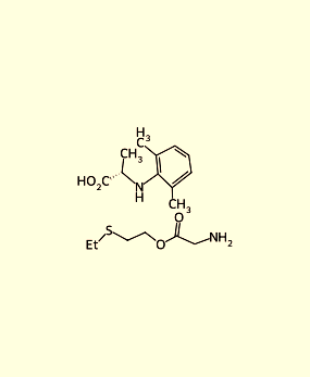 CCSCCOC(=O)CN.Cc1cccc(C)c1N[C@@H](C)C(=O)O